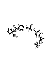 Nc1ccccc1NC(=O)c1ccc(CNC(=O)OCc2ccc(C3C[C@@H]3NCC(F)(F)F)cc2)cc1